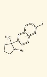 CC(=O)N1CCCC1(C)c1ccc2cc(F)ccc2c1